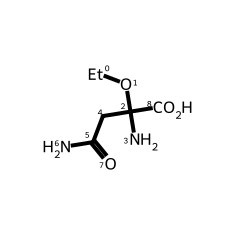 CCOC(N)(CC(N)=O)C(=O)O